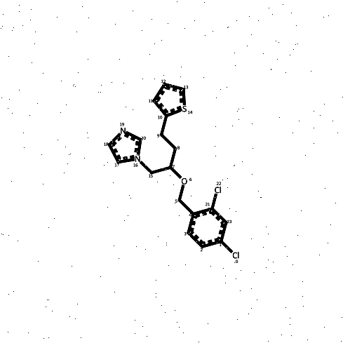 Clc1ccc(COC(CCc2cccs2)Cn2ccnc2)c(Cl)c1